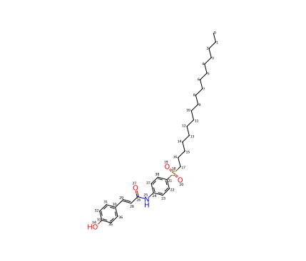 CCCCCCCCCCCCCCCCCCS(=O)(=O)c1ccc(NC(=O)C=Cc2ccc(O)cc2)cc1